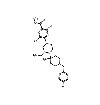 CC[C@H]1CN(c2nc(N)c(C(=O)OC)nc2Cl)CCN1C1(C)CCN(Cc2ccc(Cl)cc2)CC1